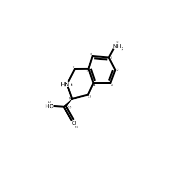 Nc1ccc2c(c1)CN[C@H](C(=O)O)C2